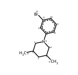 CC1CC(C)CN(c2[c]ccc(Br)c2)C1